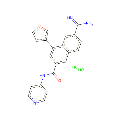 Cl.Cl.N=C(N)c1ccc2cc(C(=O)Nc3ccncc3)cc(-c3ccoc3)c2c1